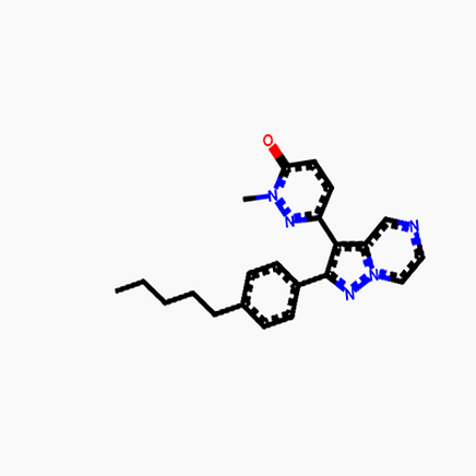 CCCCCc1ccc(-c2nn3ccncc3c2-c2ccc(=O)n(C)n2)cc1